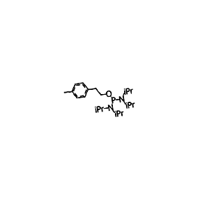 Cc1ccc(CCOP(N(C(C)C)C(C)C)N(C(C)C)C(C)C)cc1